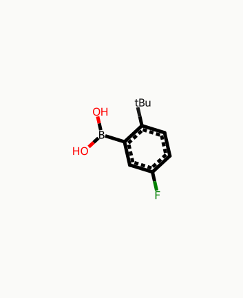 CC(C)(C)c1ccc(F)cc1B(O)O